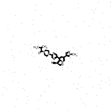 C=C(C)C(=O)N1CCN(c2cnc(-c3cc(-c4cnn(C)c4)cn4ncc(C#N)c34)cn2)CC1